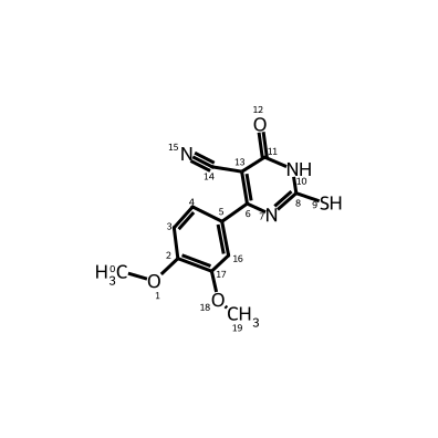 COc1ccc(-c2nc(S)[nH]c(=O)c2C#N)cc1OC